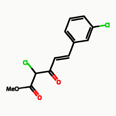 COC(=O)C(Cl)C(=O)C=Cc1cccc(Cl)c1